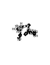 Cc1ncsc1-c1ccc(CNC(=O)[C@H]2C[C@H](O)CN2C(=O)[C@H](NC(=O)COCCN2CCC[C@H]2COc2nc(N3CC4CCC(C3)N4)c3cnc(-c4cc(O)cc(Cl)c4C(F)(F)F)c(F)c3n2)C(C)(C)C)cc1